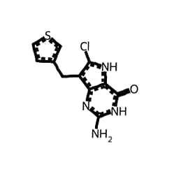 Nc1nc2c(Cc3ccsc3)c(Cl)[nH]c2c(=O)[nH]1